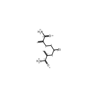 C=C(CCC(CC)CC(=C)C(N)=O)C(N)=O